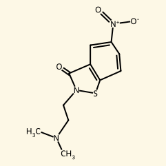 CN(C)CCn1sc2ccc([N+](=O)[O-])cc2c1=O